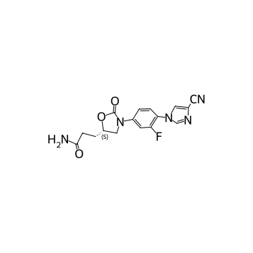 N#Cc1cn(-c2ccc(N3C[C@H](CCC(N)=O)OC3=O)cc2F)cn1